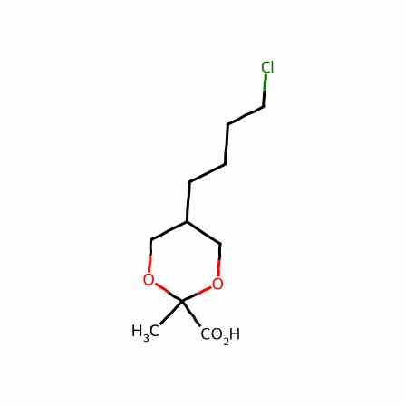 CC1(C(=O)O)OCC(CCCCCl)CO1